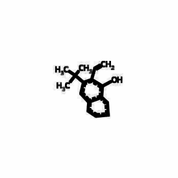 C=Cc1c(C(C)(C)C)cc2ccccc2c1O